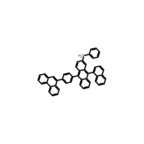 c1ccc([SiH2]c2ccc3c(-c4ccc(-c5cc6ccccc6c6ccccc56)cc4)c4ccccc4c(-c4cccc5ccccc45)c3c2)cc1